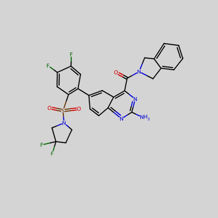 Nc1nc(C(=O)N2Cc3ccccc3C2)c2cc(-c3cc(F)c(F)cc3S(=O)(=O)N3CCC(F)(F)C3)ccc2n1